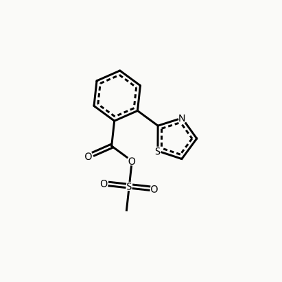 CS(=O)(=O)OC(=O)c1ccccc1-c1nccs1